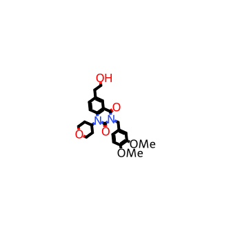 COc1ccc(Cn2c(=O)c3cc(CCO)ccc3n(C3CCOCC3)c2=O)cc1OC